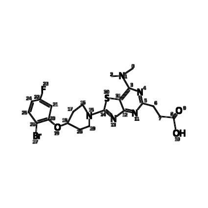 CN(C)c1nc(CCC(=O)O)nc2nc(N3CCC(Oc4cc(F)ccc4Br)CC3)sc12